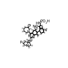 N#Cc1c(NC(=O)O)sc2c(F)ccc(-c3c(Cl)cc4c(N5CCCCC(=O)C5)nc(OC[C@@]56CCCN5C[C@H](F)C6)nc4c3F)c12